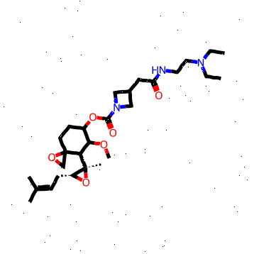 CCN(CC)CCNC(=O)CC1CN(C(=O)OC2CCC3(CO3)C([C@@]3(C)O[C@@H]3CC=C(C)C)C2OC)C1